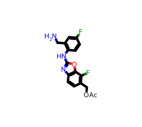 CC(=O)OCc1ccc2nc(Nc3ccc(F)cc3CN)oc2c1F